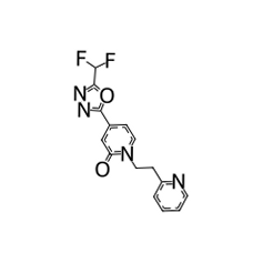 O=c1cc(-c2nnc(C(F)F)o2)ccn1CCc1ccccn1